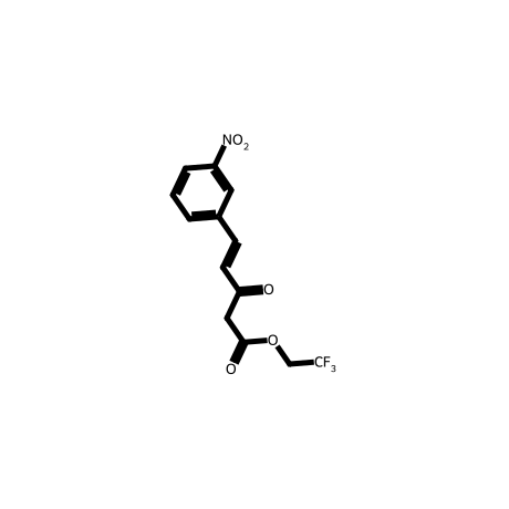 O=C(C=Cc1cccc([N+](=O)[O-])c1)CC(=O)OCC(F)(F)F